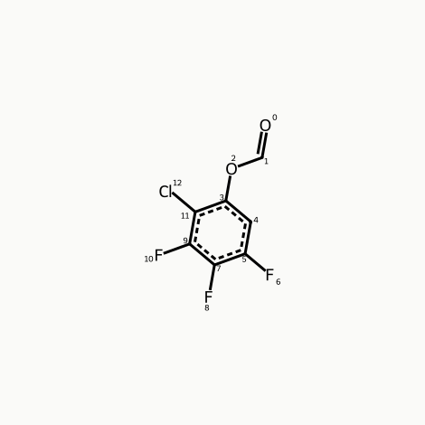 O=COc1cc(F)c(F)c(F)c1Cl